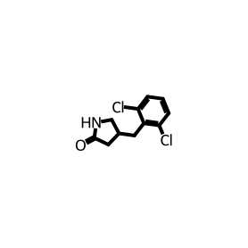 O=C1CC(Cc2c(Cl)cccc2Cl)CN1